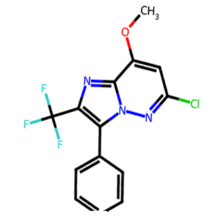 COc1cc(Cl)nn2c(-c3ccccc3)c(C(F)(F)F)nc12